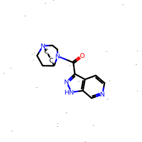 O=C(c1n[nH]c2cnccc12)N1CCN2CCC1CC2